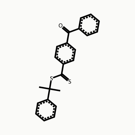 CC(C)(SC(=S)c1ccc(C(=O)c2ccccc2)cc1)c1ccccc1